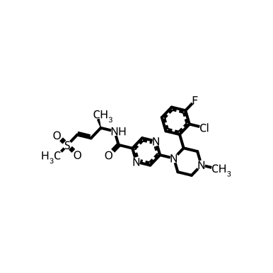 C[C@H](/C=C/S(C)(=O)=O)NC(=O)c1cnc(N2CCN(C)CC2c2cccc(F)c2Cl)cn1